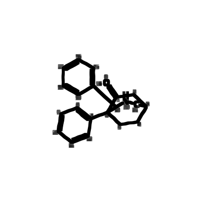 O=C1CC2CCC1(c1ccccc1)C(c1ccccc1)NC2